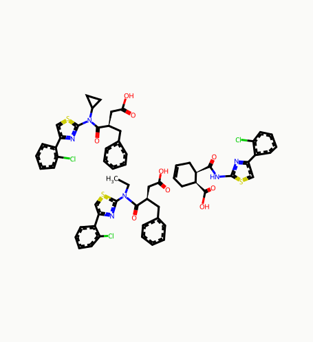 CCN(C(=O)[C@@H](CC(=O)O)Cc1ccccc1)c1nc(-c2ccccc2Cl)cs1.O=C(O)C[C@@H](Cc1ccccc1)C(=O)N(c1nc(-c2ccccc2Cl)cs1)C1CC1.O=C(O)[C@H]1CC=CC[C@H]1C(=O)Nc1nc(-c2ccccc2Cl)cs1